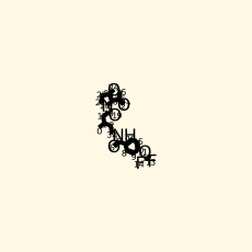 CC(CCNC(=O)c1ccc(OC(F)F)cc1)CC(=O)N1CCC2OCC(=O)C21